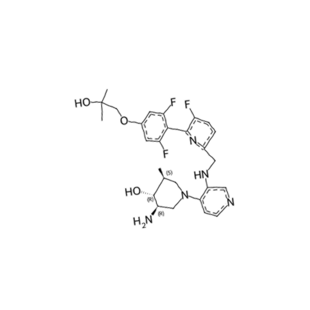 C[C@H]1CN(c2ccncc2NCc2ccc(F)c(-c3c(F)cc(OCC(C)(C)O)cc3F)n2)C[C@@H](N)[C@@H]1O